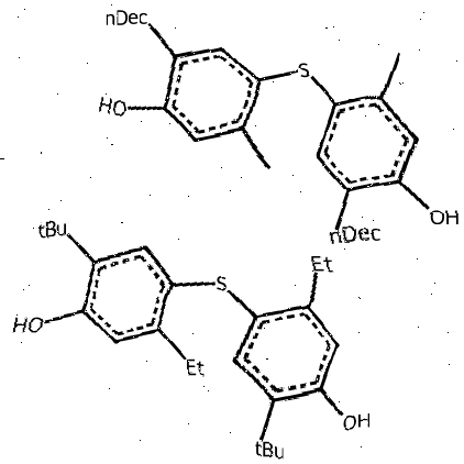 CCCCCCCCCCc1cc(Sc2cc(CCCCCCCCCC)c(O)cc2C)c(C)cc1O.CCc1cc(O)c(C(C)(C)C)cc1Sc1cc(C(C)(C)C)c(O)cc1CC